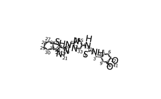 S=C(NCc1ccc2c(c1)OCO2)Nc1cnc(Nc2ncnc3c2sc2ccccc23)nc1